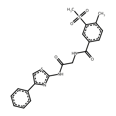 Cc1ccc(C(=O)NCC(=O)Nc2nc(-c3ccccc3)cs2)cc1S(C)(=O)=O